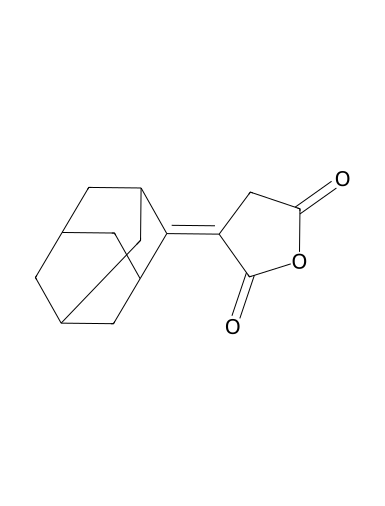 O=C1CC(=C2C3CC4CC(C3)CC2C4)C(=O)O1